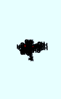 COC(=O)/C(C)=C\CC1(O)C(=O)C2CC(C(C)C)C13Oc1c(CC=C(C)C)c4c(c(OC(=O)c5ccc(O[C@@H]6O[C@H](CO)[C@@H](O)[C@H](O)[C@H]6O)cc5)c1C1=C3C2C2=C(c3ccccc3C2=O)N1CCN)C=CC(C)(CCC=C(C)C)O4